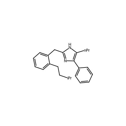 CCCc1[nH]c(Cc2ccccc2CCC(C)C)nc1-c1ccccc1